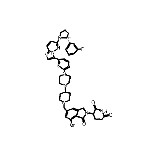 O=C1CCC(N2Cc3cc(CN4CCC(N5CCN(c6cccc(-c7cnc8ccc(N9CCC[C@@H]9c9cccc(F)c9)nn78)n6)CC5)CC4)cc(Br)c3C2=O)C(=O)N1